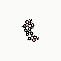 Cc1ccc(N(c2ccc(C(C)(C)C)cc2)c2ccc3c(c2)C2(C4=C(C=CC4)c4ccc(F)cc42)c2cc(N(c4ccc(C(C)(C)C)cc4)c4ccc(C)cc4-c4ccccc4)c4c(oc5ccccc54)c2-3)c(-c2ccccc2)c1